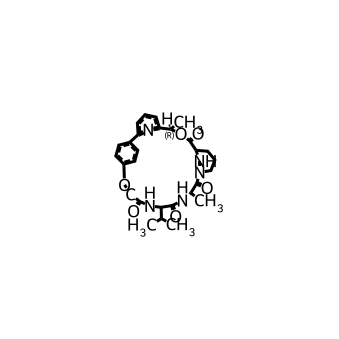 CC1NC(=O)C(C(C)C)NC(=O)COc2ccc(cc2)-c2cccc(n2)[C@@H](C)OC(=O)C2CCCN(N2)C1=O